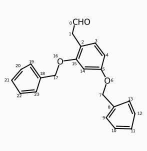 O=CCc1ccc(OCc2ccccc2)cc1OCc1ccccc1